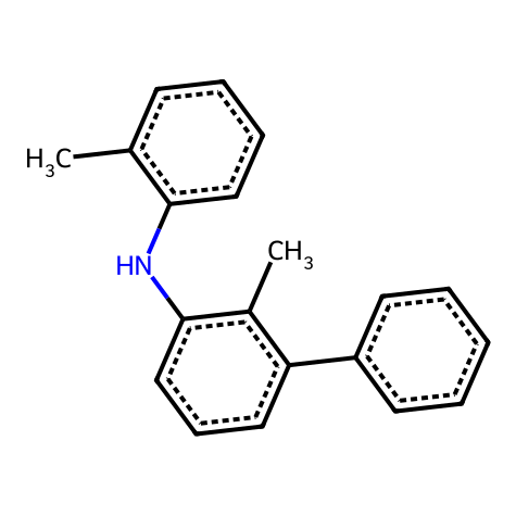 Cc1ccccc1Nc1cccc(-c2ccccc2)c1C